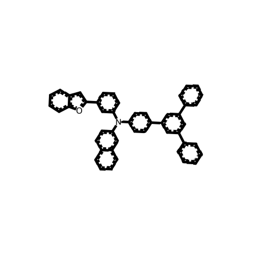 c1ccc(-c2cc(-c3ccccc3)cc(-c3ccc(N(c4cccc(-c5cc6ccccc6o5)c4)c4ccc5ccccc5c4)cc3)c2)cc1